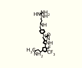 C[C@H](N)CCc1cc(-c2cc3cn(-c4ccc(CNCCCNC(=N)N)cc4)c(=O)nc3[nH]2)c(F)c(C(F)(F)F)c1